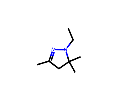 CCN1N=C(C)CC1(C)C